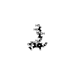 C=C(C)C(=O)O.C=C(C)C(=O)O.CCOC(N)=O.Cc1ccc(N=C=O)cc1N=C=O.OCC(O)CO